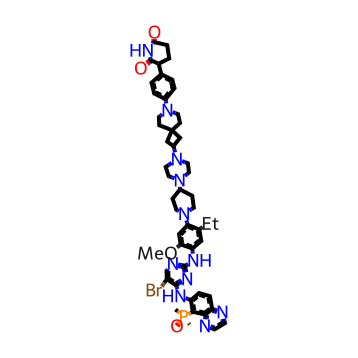 CCc1cc(Nc2ncc(Br)c(Nc3ccc4nccnc4c3P(C)(C)=O)n2)c(OC)cc1N1CCC(N2CCN(C3CC4(CCN(c5ccc(C6CCC(=O)NC6=O)cc5)CC4)C3)CC2)CC1